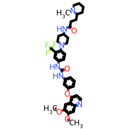 COc1cc2nccc(Oc3cccc(NC(=O)Nc4ccc(N5CCC(NC(=O)CCC6CCCCN6C)CC5)c(C(F)(F)F)c4)c3)c2cc1OC